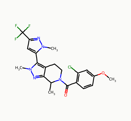 COc1ccc(C(=O)N2CCc3c(nn(C)c3-c3cc(C(F)(F)F)nn3C)C2C)c(Cl)c1